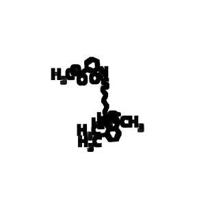 COC(=O)c1cccc2nc(SCCCCCC(=O)Nc3c(C(C)C)cccc3C(C)C)oc12